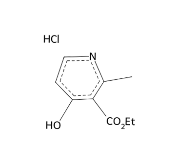 CCOC(=O)c1c(O)ccnc1C.Cl